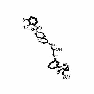 Cc1c(Br)cccc1S(=O)(=O)N1CCC2(CC1)C[C@@H](NCC(O)COc1cccc(S(=O)(=O)C3(CO)CC3)c1)CO2